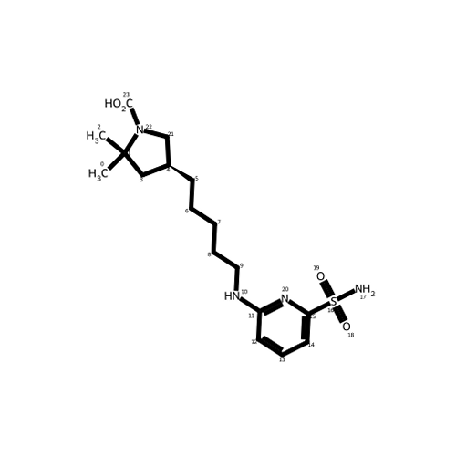 CC1(C)C[C@H](CCCCCNc2cccc(S(N)(=O)=O)n2)CN1C(=O)O